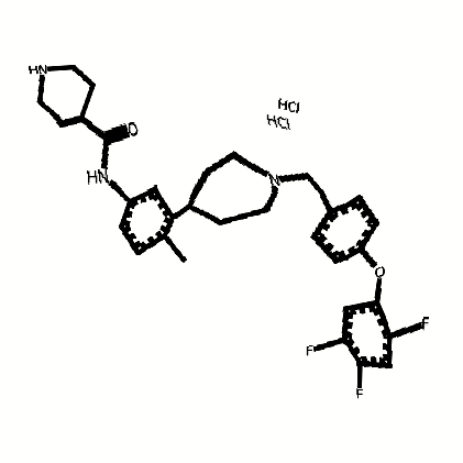 Cc1ccc(NC(=O)C2CCNCC2)cc1C1CCN(Cc2ccc(Oc3cc(F)c(F)cc3F)cc2)CC1.Cl.Cl